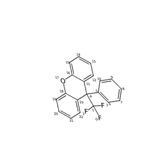 FC(F)(F)C1(c2ccccc2)c2ccccc2Oc2ccccc21